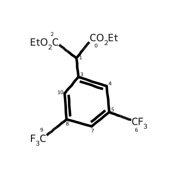 CCOC(=O)C(C(=O)OCC)c1cc(C(F)(F)F)cc(C(F)(F)F)c1